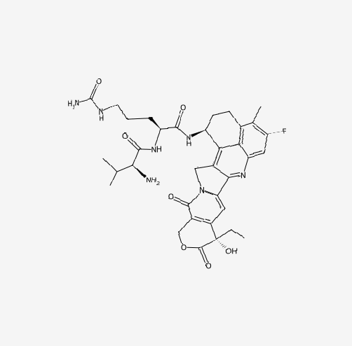 CC[C@@]1(O)C(=O)OCc2c1cc1n(c2=O)Cc2c-1nc1cc(F)c(C)c3c1c2[C@@H](NC(=O)[C@H](CCCNC(N)=O)NC(=O)[C@@H](N)C(C)C)CC3